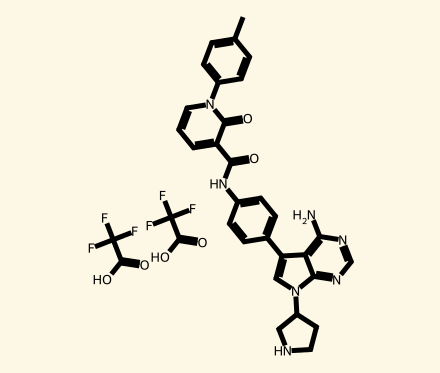 Cc1ccc(-n2cccc(C(=O)Nc3ccc(-c4cn(C5CCNC5)c5ncnc(N)c45)cc3)c2=O)cc1.O=C(O)C(F)(F)F.O=C(O)C(F)(F)F